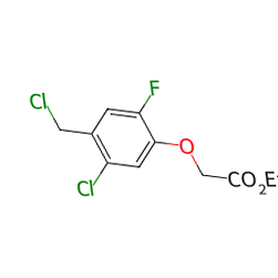 CCOC(=O)COc1cc(Cl)c(CCl)cc1F